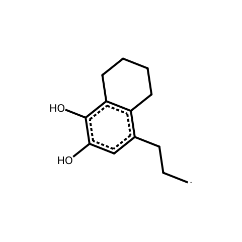 [CH2]CCc1cc(O)c(O)c2c1CCCC2